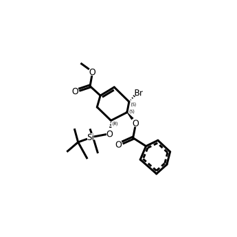 COC(=O)C1=C[C@H](Br)[C@@H](OC(=O)c2ccccc2)[C@H](O[Si](C)(C)C(C)(C)C)C1